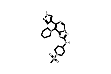 CS(=O)(=O)N1CCC(Nc2nc3c(N4CCCCC4)c(-c4cn[nH]c4)ncn3n2)CC1